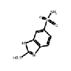 NS(=O)(=O)c1ccc2nc(S(=O)(=O)O)[nH]c2c1